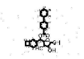 O=C(O[C@H](c1ccc2c(c1)CC2)[C@H]1OC(O)[C@H](O)[C@@H]1O)c1ccc(-c2ccccc2)cc1